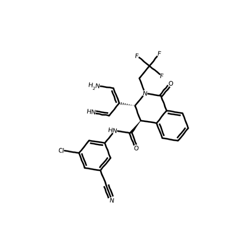 N#Cc1cc(Cl)cc(NC(=O)[C@@H]2c3ccccc3C(=O)N(CC(F)(F)F)[C@H]2/C(C=N)=C/N)c1